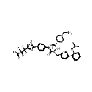 CC(C)Oc1ccccc1-c1ccc(C[C@H](NC(=O)[C@H]2CC[C@H](CN)CC2)C(=O)Nc2ccc(-c3nc(C(F)(F)C(F)(F)C(=O)O)n[nH]3)cc2)cc1